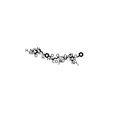 Nc1nc(OCc2ccccc2)c2ncn([C@H]3CC(O)[C@@H](COC(=O)CC[C@H](NC(=O)c4ccc(NCc5cnc6nc(N)[nH]c(=O)c6n5)cc4)C(=O)O)O3)c2n1